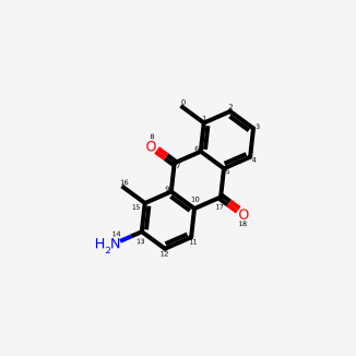 Cc1cccc2c1C(=O)c1c(ccc(N)c1C)C2=O